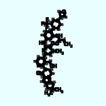 C=CC(=O)Nc1cc(Nc2nc(-c3ccnc(N4CCn5c(cc6c5CC(C)(C)C6)C4=O)c3CO)cn(C)c2=O)ccc1N1CCN(C2COC2)C[C@H]1C(F)(F)F